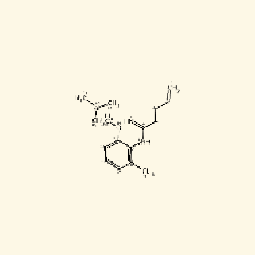 C=CCCC(=N)Nc1c(C)cccc1OC.[CH3][Al]([CH3])[CH3]